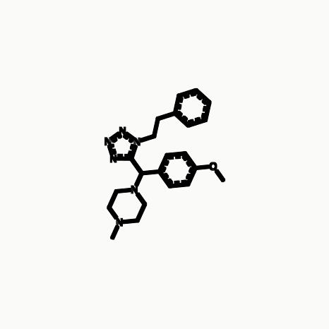 COc1ccc(C(c2nnnn2CCc2ccccc2)N2CCN(C)CC2)cc1